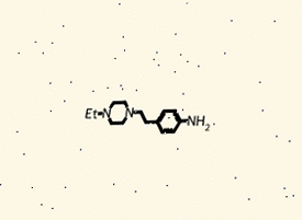 CCN1CCN(CCc2ccc(N)cc2)CC1